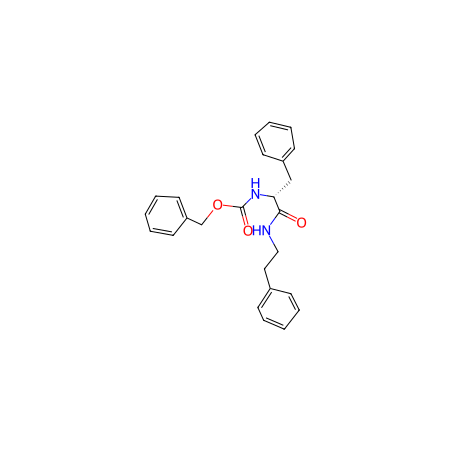 O=C(N[C@H](Cc1ccccc1)C(=O)NCCc1ccccc1)OCc1ccccc1